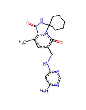 Cc1cc(CNc2cc(N)ncn2)c(=O)n2c1C(=O)NC21CCCCC1